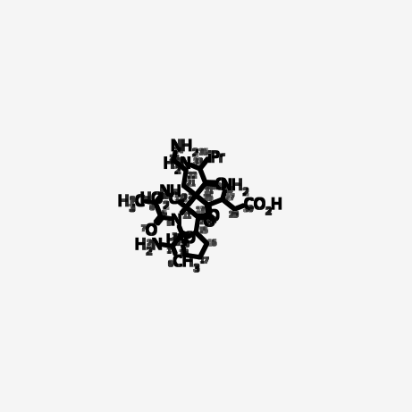 CC(N)C(=O)N(C(=O)C(C)N)C(C(=O)O)(C(=O)C1CCCN1)C(CCCN)(C(=O)C(N)CC(=O)O)C(=O)C(N)C(C)C